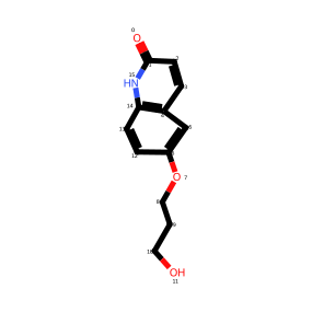 O=c1ccc2cc(OCCCO)ccc2[nH]1